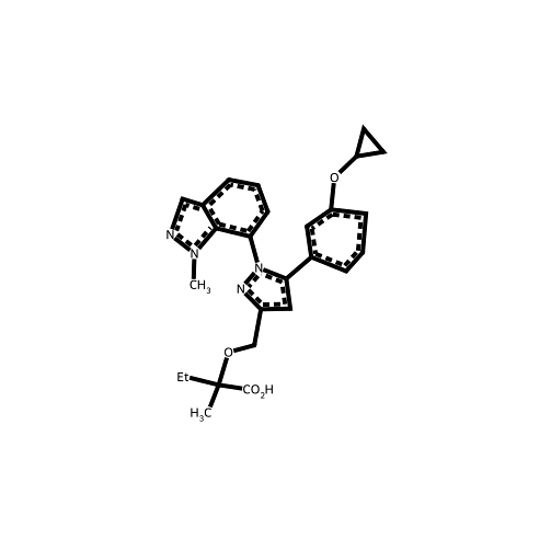 CCC(C)(OCc1cc(-c2cccc(OC3CC3)c2)n(-c2cccc3cnn(C)c23)n1)C(=O)O